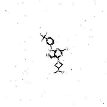 C[S+]([O-])C1CN(c2nc(Cl)nc(Nc3cccc(C(F)(F)F)c3)c2C=N)C1